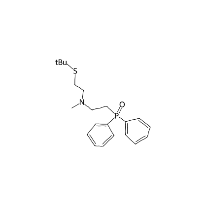 CN(CCSC(C)(C)C)CCP(=O)(c1ccccc1)c1ccccc1